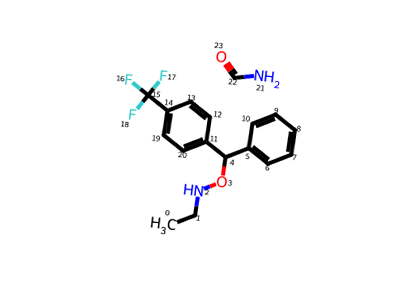 CCNOC(c1ccccc1)c1ccc(C(F)(F)F)cc1.NC=O